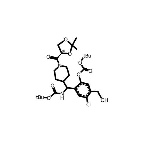 CC(C)(C)OC(=O)NC(c1cc(Cl)c(CO)cc1OC(=O)OC(C)(C)C)C1CCN(C(=O)[C@H]2COC(C)(C)O2)CC1